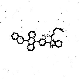 C#C/C=C\C=C(/C)n1c(-c2ccc(-c3c4ccccc4c(C4=Cc5ccccc5CC4)c4ccccc34)cc2)nc2ccccc21